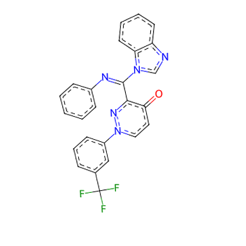 O=c1ccn(-c2cccc(C(F)(F)F)c2)nc1/C(=N\c1ccccc1)n1cnc2ccccc21